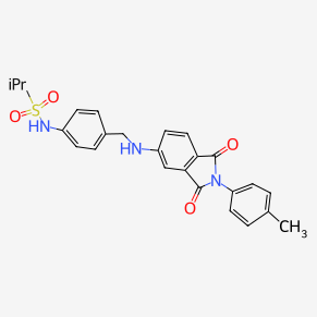 Cc1ccc(N2C(=O)c3ccc(NCc4ccc(NS(=O)(=O)C(C)C)cc4)cc3C2=O)cc1